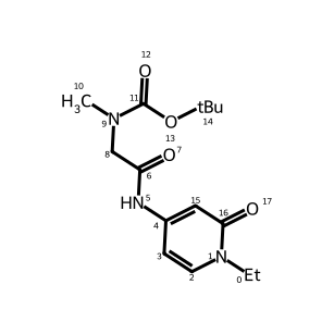 CCn1ccc(NC(=O)CN(C)C(=O)OC(C)(C)C)cc1=O